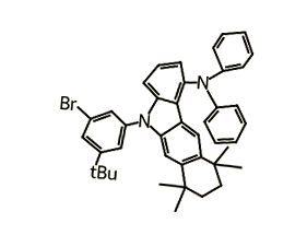 CC(C)(C)c1cc(Br)cc(-n2c3cc4c(cc3c3c(N(c5ccccc5)c5ccccc5)cccc32)C(C)(C)CCC4(C)C)c1